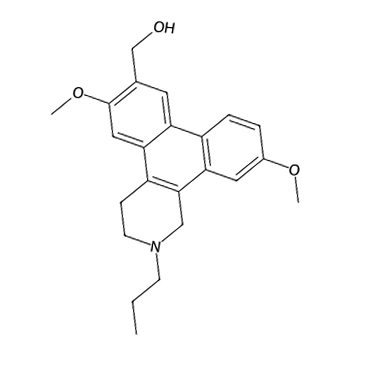 CCCN1CCc2c(c3cc(OC)ccc3c3cc(CO)c(OC)cc23)C1